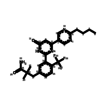 CCCCc1ncc(-c2cc(=O)[nH]c(-c3cc(CC(C)(C)C(N)=O)ccc3C(F)(F)F)n2)cn1